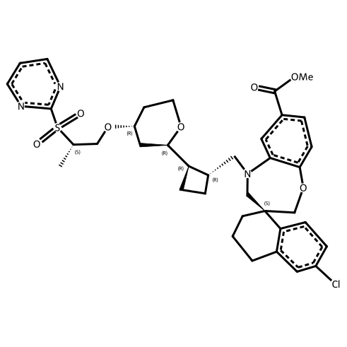 COC(=O)c1ccc2c(c1)N(C[C@@H]1CC[C@H]1[C@H]1C[C@H](OC[C@H](C)S(=O)(=O)c3ncccn3)CCO1)C[C@@]1(CCCc3cc(Cl)ccc31)CO2